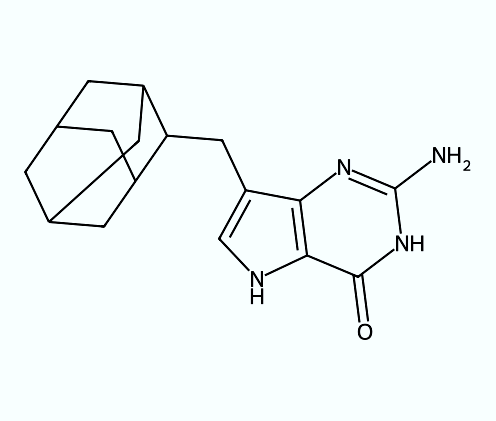 Nc1nc2c(CC3C4CC5CC(C4)CC3C5)c[nH]c2c(=O)[nH]1